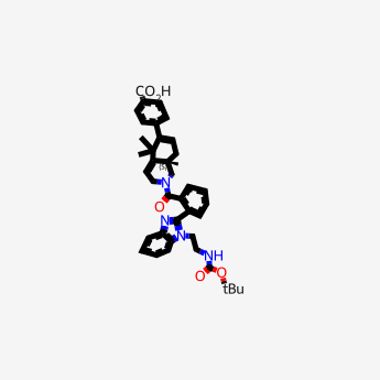 CC(C)(C)OC(=O)NCCn1c(-c2ccccc2C(=O)N2CC=C3C(C)(C)C(c4ccc(C(=O)O)cc4)=CC[C@]3(C)C2)nc2ccccc21